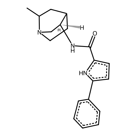 CC1CC2CCN1C[C@@H]2NC(=O)c1ccc(-c2ccccc2)[nH]1